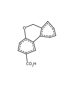 O=C(O)c1ccc2c(c1)-c1ccccc1CO2